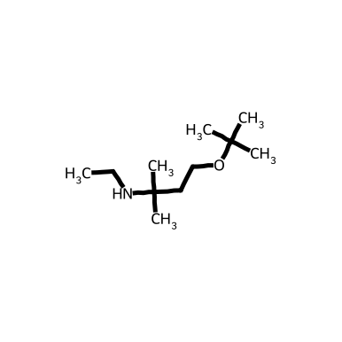 CCNC(C)(C)CCOC(C)(C)C